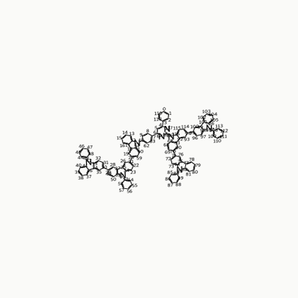 c1ccc(-c2cc(-c3ccc(-n4c5ccccc5c5cc(-c6ccc7c(c6)c6cc(-c8ccc9c(c8)c8ccccc8n9-c8ccccc8)ccc6n7-c6ccccc6)ccc54)cc3)nc(-n3c4ccc(-c5ccc6c(c5)c5ccccc5n6-c5ccccc5)cc4c4cc(-c5ccc6c(c5)c5ccccc5n6-c5ccccc5)ccc43)n2)cc1